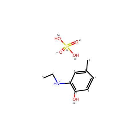 CCNc1cc(C)ccc1O.O=S(=O)(O)O